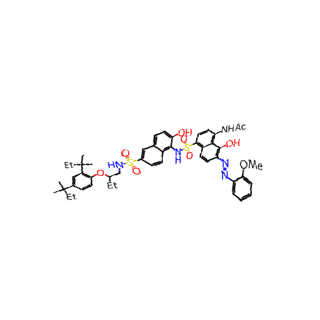 CCC(CNS(=O)(=O)c1ccc2c(NS(=O)(=O)c3ccc(NC(C)=O)c4c(O)c(N=Nc5ccccc5OC)ccc34)c(O)ccc2c1)Oc1ccc(C(C)(C)CC)cc1C(C)(C)CC